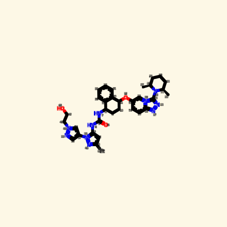 CCc1cc(NC(=O)NC2CCC(Oc3ccc4nnc(N5[C@H](C)CCC[C@@H]5C)n4c3)c3ccccc32)n(-c2cnn(CCO)c2)n1